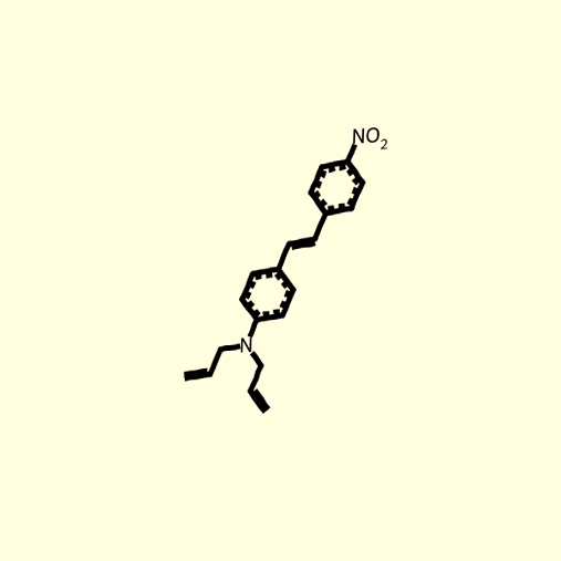 C=CCN(CC=C)c1ccc(C=Cc2ccc([N+](=O)[O-])cc2)cc1